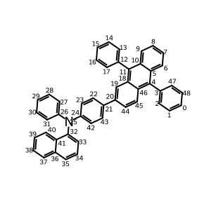 c1ccc(-c2c3ccccc3c(-c3ccccc3)c3cc(-c4ccc(N(c5ccccc5)c5cccc6ccccc56)cc4)ccc23)cc1